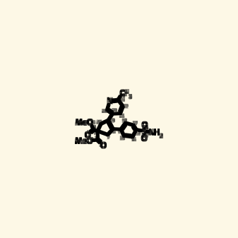 COC(=O)C1(C(=O)OC)CC(c2ccc(S(N)(=O)=O)cc2)=C(c2ccc(C(F)(F)F)nc2)C1